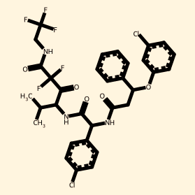 CC(C)C(NC(=O)C(NC(=O)CC(Oc1cccc(Cl)c1)c1ccccc1)c1ccc(Cl)cc1)C(=O)C(F)(F)C(=O)NCC(F)(F)F